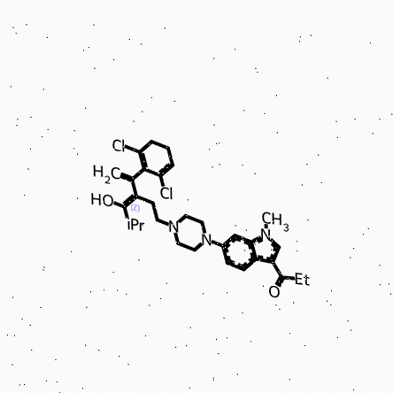 C=C(C1=C(Cl)CCC=C1Cl)/C(CCN1CCN(c2ccc3c(C(=O)CC)cn(C)c3c2)CC1)=C(\O)C(C)C